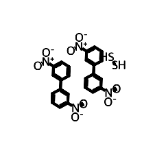 O=[N+]([O-])c1cccc(-c2cccc([N+](=O)[O-])c2)c1.O=[N+]([O-])c1cccc(-c2cccc([N+](=O)[O-])c2)c1.SS